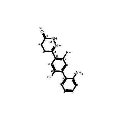 Nc1ccccc1-c1cc(F)c(C2=NNC(=O)CC2)cc1F